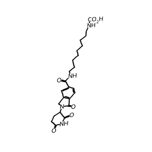 O=C(O)NCCCCCCCCCNC(=O)c1ccc2c(c1)CN(C1CCC(=O)NC1=O)C2=O